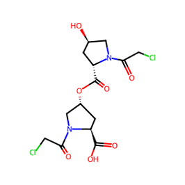 O=C(O)[C@@H]1C[C@@H](OC(=O)[C@@H]2C[C@@H](O)CN2C(=O)CCl)CN1C(=O)CCl